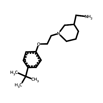 CC(C)(C)c1ccc(OCCN2CCCC(CN)C2)cc1